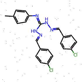 Cc1ccc(N=C(NN=Cc2ccc(Cl)cc2)NN=Cc2ccc(Cl)cc2)cc1